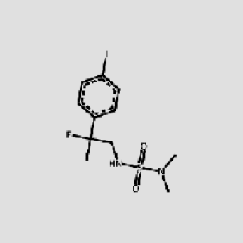 CN(C)S(=O)(=O)NCC(C)(F)c1ccc(I)cc1